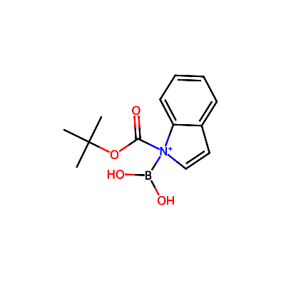 CC(C)(C)OC(=O)[N+]1(B(O)O)C=Cc2ccccc21